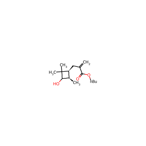 C=C(C[C@H]1[C@@H](C)C(O)C1(C)C)C(=O)OCCCC